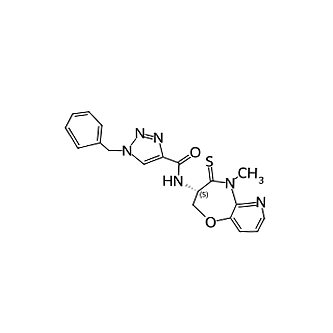 CN1C(=S)[C@@H](NC(=O)c2cn(Cc3ccccc3)nn2)COc2cccnc21